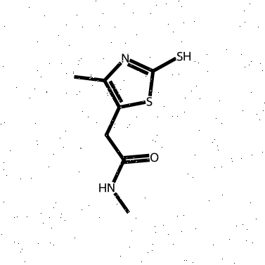 CNC(=O)Cc1sc(S)nc1C